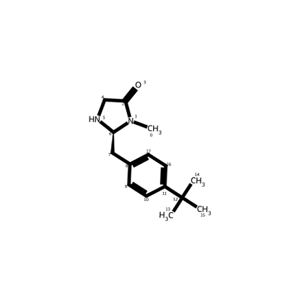 CN1C(=O)CN[C@@H]1Cc1ccc(C(C)(C)C)cc1